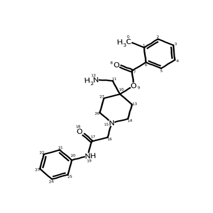 Cc1ccccc1C(=O)OC1(CN)CCN(CC(=O)Nc2ccccc2)CC1